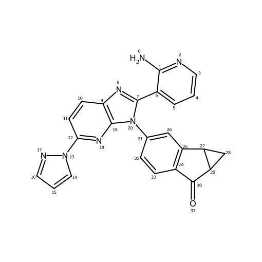 Nc1ncccc1-c1nc2ccc(-n3cccn3)nc2n1-c1ccc2c(c1)C1CC1C2=O